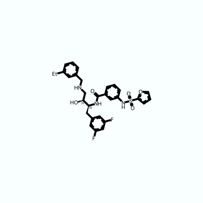 CCc1cccc(CNC[C@H](O)[C@H](Cc2cc(F)cc(F)c2)NC(=O)c2cccc(NS(=O)(=O)c3ccco3)c2)c1